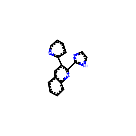 c1ccc(-c2cc3ccccc3nc2-c2ncc[nH]2)nc1